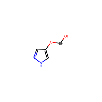 OBOc1cn[nH]c1